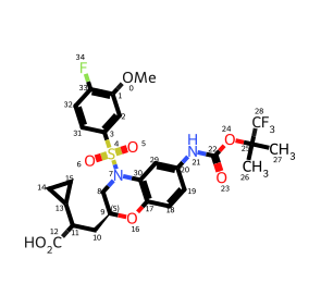 COc1cc(S(=O)(=O)N2C[C@H](CC(C(=O)O)C3CC3)Oc3ccc(NC(=O)OC(C)(C)C(F)(F)F)cc32)ccc1F